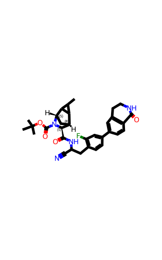 CC1C2C1[C@@H]1C[C@H]2[C@@H](C(=O)NC(C#N)Cc2ccc(-c3ccc4c(c3)CCNC4=O)cc2F)N1C(=O)OC(C)(C)C